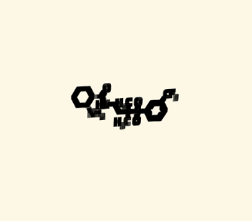 CC(C)(CCNC(=O)[C@H]1CCCC[C@H]1N)S(=O)(=O)c1cccc(C(F)(F)F)c1